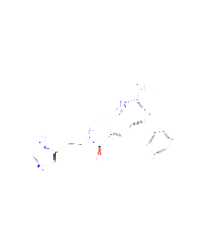 Nc1nc(-c2ccccc2)c2cc(C(=O)NCCc3cnc[nH]3)sc2n1